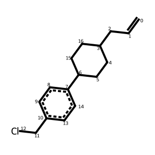 C=CCC1CCC(c2ccc(CCl)cc2)CC1